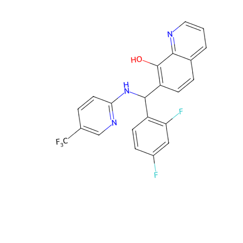 Oc1c(C(Nc2ccc(C(F)(F)F)cn2)c2ccc(F)cc2F)ccc2cccnc12